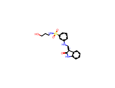 O=C1Nc2ccccc2/C1=C/Nc1cccc(S(=O)(=O)NCCCO)c1